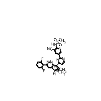 CC1(C)[C@H]2CC[C@@]1(c1ccnc(-c3cnc(NS(C)(=O)=O)c(C#N)c3)n1)c1nnc(-c3c(F)cccc3F)cc12